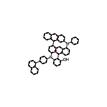 Oc1cccc(N(c2ccc(-c3cccc4ccccc34)cc2)c2ccc(-c3cccc4ccccc34)cc2)c1-c1cccc2c(N(c3ccccc3)c3ccccc3)cccc12